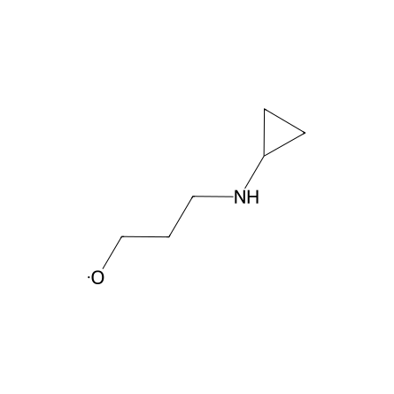 [O]CCCNC1CC1